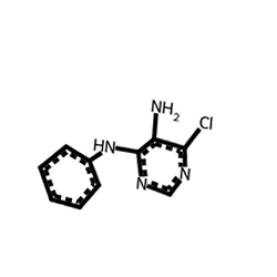 Nc1c(Cl)ncnc1Nc1ccccc1